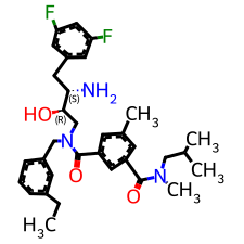 CCc1cccc(CN(C[C@@H](O)[C@@H](N)Cc2cc(F)cc(F)c2)C(=O)c2cc(C)cc(C(=O)N(C)CC(C)C)c2)c1